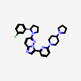 Fc1cccc([C@H]2CCCN2c2ccc3ncc(-c4cccc(N5CCC(N6CCCC6)CC5)n4)n3n2)c1